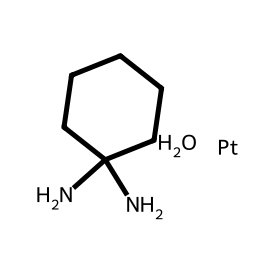 NC1(N)CCCCC1.O.[Pt]